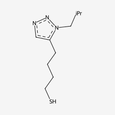 CC(C)Cn1nncc1CCCCS